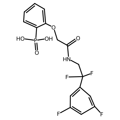 O=C(COc1ccccc1P(=O)(O)O)NCC(F)(F)c1cc(F)cc(F)c1